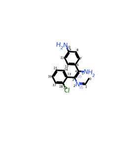 C/C=N\C(=C(/N)c1ccc(N)cc1)c1ccccc1Cl